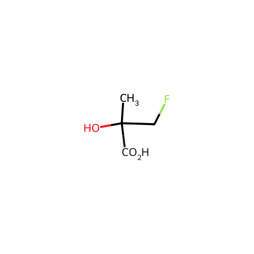 CC(O)(CF)C(=O)O